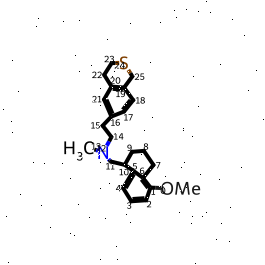 COc1cccc2c1CCCC2CN(C)CCc1ccc2c(c1)CCSC2